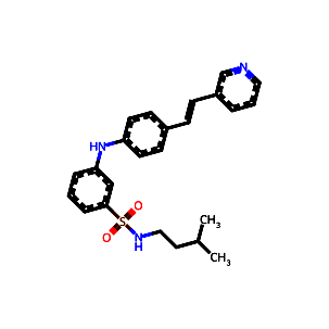 CC(C)CCNS(=O)(=O)c1cccc(Nc2ccc(/C=C/c3cccnc3)cc2)c1